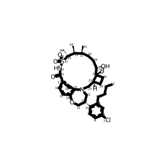 CCCCc1cc(Cl)ccc1[C@@H]1COc2ccc3cc2N(C1)C[C@@H]1CC[C@H]1[C@@H](O)CC[C@H](C)[C@H](C)[C@@H](C)S(=O)(=O)NC3=O